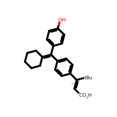 CC(C)(C)/C(=C\C(=O)O)c1ccc(C(=C2CCCCC2)c2ccc(O)cc2)cc1